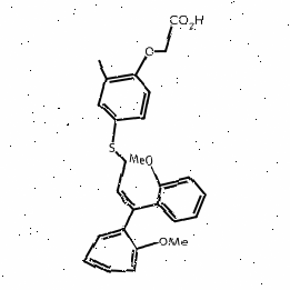 COc1ccccc1C(=CCSc1ccc(OCC(=O)O)c(C)c1)c1ccccc1OC